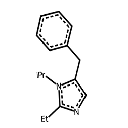 CCc1ncc(Cc2ccccc2)n1C(C)C